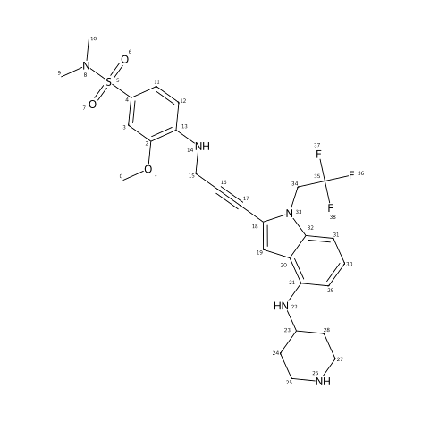 COc1cc(S(=O)(=O)N(C)C)ccc1NCC#Cc1cc2c(NC3CCNCC3)cccc2n1CC(F)(F)F